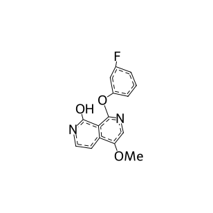 COc1cnc(Oc2cccc(F)c2)c2c(O)nccc12